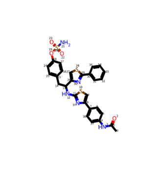 CC(=O)Nc1ccc(-c2csc(NC(Cc3ccc(OS(N)(=O)=O)cc3)c3csc(-c4ccccc4)n3)n2)cc1